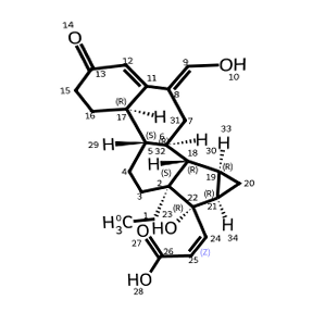 CC[C@]12CC[C@H]3[C@@H](CC(=CO)C4=CC(=O)CC[C@@H]43)[C@@H]1[C@H]1C[C@H]1[C@@]2(O)/C=C\C(=O)O